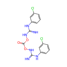 N=C(NOC(=O)ONC(=N)Nc1cccc(Cl)c1)Nc1cccc(Cl)c1